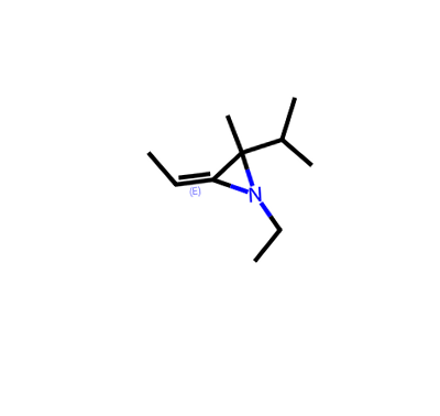 C/C=C1/N(CC)C1(C)C(C)C